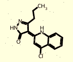 CCCC1=NNC(=O)C1=C1C=C(Cl)c2ccccc2N1